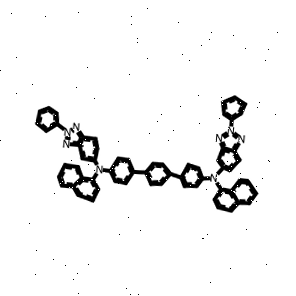 c1ccc(-n2nc3ccc(N(c4ccc(-c5ccc(-c6ccc(N(c7ccc8nn(-c9ccccc9)nc8c7)c7cccc8ccccc78)cc6)cc5)cc4)c4cccc5ccccc45)cc3n2)cc1